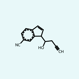 C#CCC(O)C1C=Cc2ccc(C#N)cc21